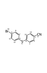 N#Cc1ccc(Sc2ccc(Br)cc2)cc1